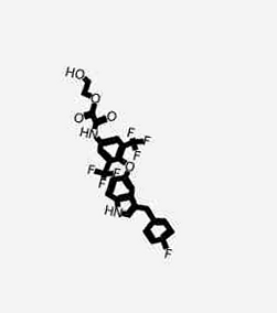 O=C(Nc1cc(C(F)(F)F)c(Oc2ccc3[nH]cc(Cc4ccc(F)cc4)c3c2)c(C(F)(F)F)c1)C(=O)OCCO